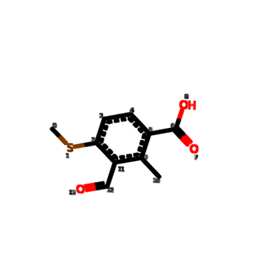 CSc1ccc(C(=O)O)c(C)c1C=O